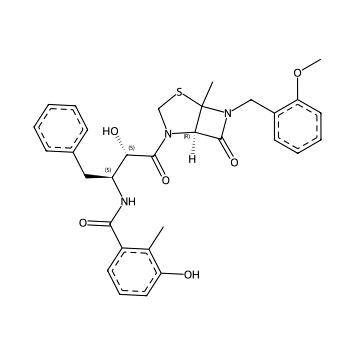 COc1ccccc1CN1C(=O)[C@H]2N(C(=O)[C@@H](O)[C@H](Cc3ccccc3)NC(=O)c3cccc(O)c3C)CSC21C